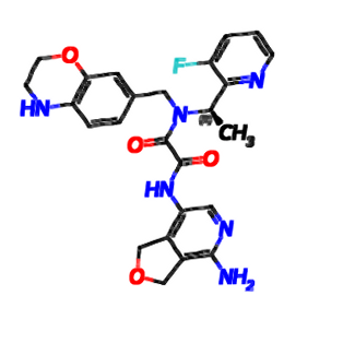 C[C@H](c1ncccc1F)N(Cc1ccc2c(c1)OCCN2)C(=O)C(=O)Nc1cnc(N)c2c1COC2